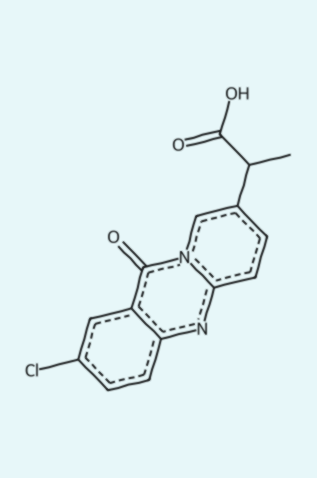 CC(C(=O)O)c1ccc2nc3ccc(Cl)cc3c(=O)n2c1